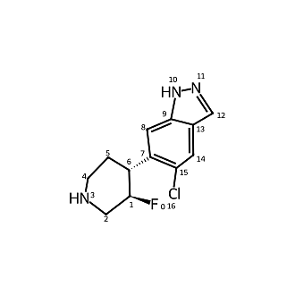 F[C@H]1CNCC[C@@H]1c1cc2[nH]ncc2cc1Cl